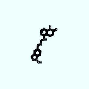 O=C1CCc2c(NC/N=C/c3ccc4c(c3)COB4O)ncnc2N1